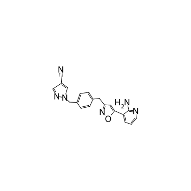 N#Cc1cnn(Cc2ccc(Cc3cc(-c4cccnc4N)on3)cc2)c1